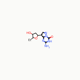 CCC1OC(c2cnn3c(=O)[nH]c(N)nc23)CC1O